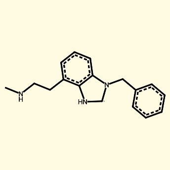 CNCCc1cccc2c1N[CH]N2Cc1ccccc1